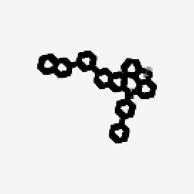 c1ccc(-c2ccc(N(c3ccc4cc(-c5cccc(-c6ccc7ccccc7c6)c5)ccc4c3)c3cccc4sc5ccccc5c34)cc2)cc1